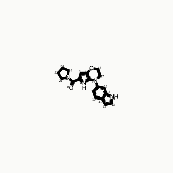 O=C(c1cc2c([nH]1)N(c1ccc3cc[nH]c3c1)CCO2)N1CCCC1